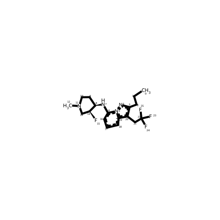 CCCc1nn2c(N[C@@H]3CCN(C)C[C@@H]3F)cccc2c1CC(F)(F)F